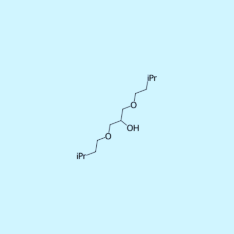 CC(C)CCOCC(O)COCCC(C)C